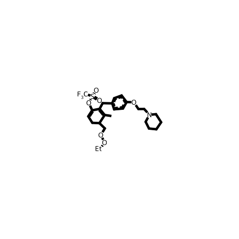 CCOOCC1CC=C(OS(=O)(=O)C(F)(F)F)C(Cc2ccc(OCCN3CCCCC3)cc2)=C1C